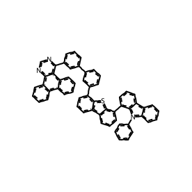 c1ccc(-n2c3ccccc3c3cccc(-c4cccc5c4sc4c(-c6cccc(-c7cccc(-c8ncnc9c%10ccccc%10c%10ccccc%10c89)c7)c6)cccc45)c32)cc1